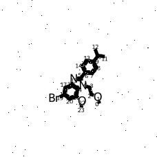 COCCn1c(-c2ccc(C(C)C)cc2)nc2cc(Br)cc(OC)c21